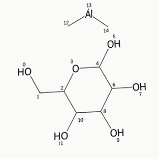 OCC1OC(O)C(O)C(O)C1O.[CH3][Al][CH3]